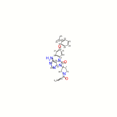 CC#CC(=O)N1CCC(n2c(=O)n(-c3ccc(Oc4ccccc4C(C)C)cc3)c3c(N)ncnc32)C1